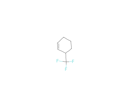 FC(F)(F)C1C=CCCC1